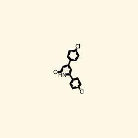 O=c1cc(-c2ccc(Cl)cc2)cc(-c2ccc(Cl)cc2)[nH]1